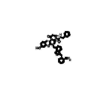 Nc1ccccc1Cn1ncc2c(CN3C[C@@H]4N(C(=O)NCc5ccccc5)NCC(=O)N4[C@@H](Cc4ccc(O)cc4)C3=O)cccc21